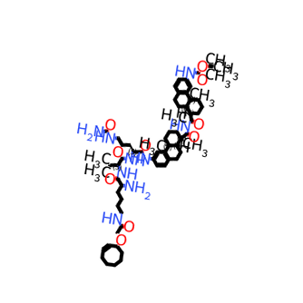 CC(C)[C@H](NC(=O)C(N)CCCCNC(=O)COC1C#CCCCCC1)C(=O)N[C@@H](CCCNC(N)=O)C(=O)Nc1ccc2c(c1)[C@@]1(C)CCC[C@](C)(C(=O)NC(=O)[C@@]3(C)CCC[C@]4(C)c5cc(NC(=O)OC(C)(C)C)ccc5CC[C@@H]34)[C@@H]1CC2